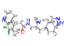 Cc1cc(CC(CNC(=O)CC(c2cccnc2)C2(C(F)(F)F)CC2)N(C)C)cc2cn[nH]c12